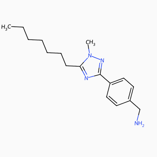 CCCCCCCc1nc(-c2ccc(CN)cc2)nn1C